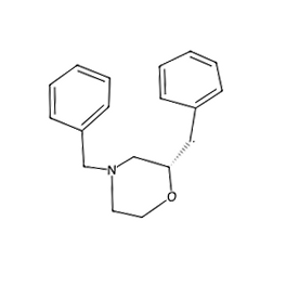 [CH](c1ccccc1)[C@H]1CN(Cc2ccccc2)CCO1